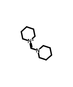 C(N1CCCCC1)=[N+]1CCCCC1